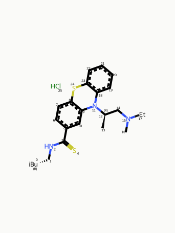 CC[C@@H](C)CNC(=S)c1ccc2c(c1)N([C@H](C)CN(C)CC)c1ccccc1S2.Cl